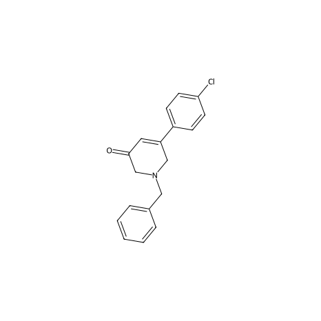 O=C1C=C(c2ccc(Cl)cc2)CN(Cc2ccccc2)C1